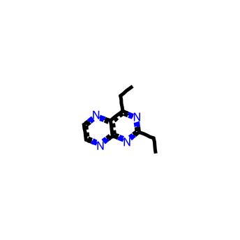 CCc1nc(CC)c2nccnc2n1